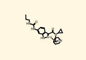 CCCNC(=O)Nc1ccc2c(C(=O)N(C3CC3)[C@@H]3CN4CCC3CC4)n[nH]c2c1